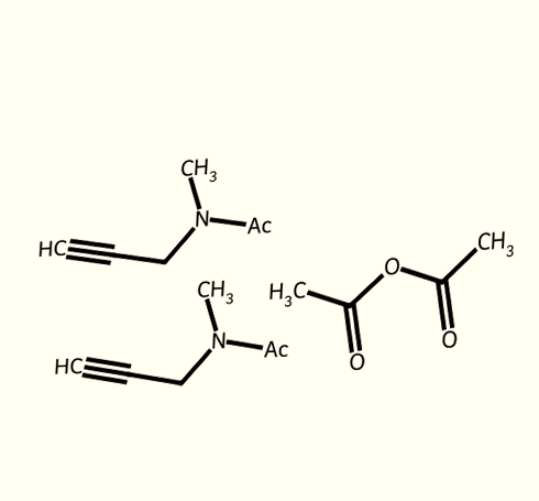 C#CCN(C)C(C)=O.C#CCN(C)C(C)=O.CC(=O)OC(C)=O